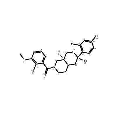 COc1cccc(C(=O)N2CCN3C[C@@](O)(c4ccc(Cl)cc4Cl)OC[C@@H]3C2)c1Cl